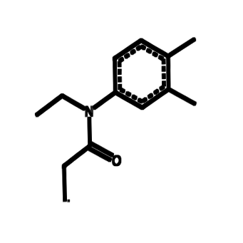 [CH2]CC(=O)N(CC)c1ccc(C)c(C)c1